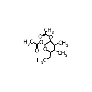 CCC1O[C@H](OC(C)=O)C(OC(C)=O)[C@@H](C)[C@@H]1C